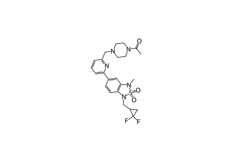 CC(=O)N1CCN(Cc2cccc(-c3ccc4c(c3)N(C)S(=O)(=O)N4CC3CC3(F)F)n2)CC1